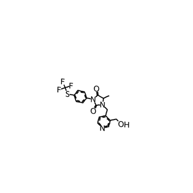 CC1C(=O)N(c2ccc(SC(F)(F)F)cc2)C(=O)N1Cc1ccncc1CO